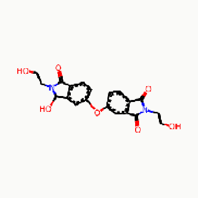 O=C1c2ccc(Oc3ccc4c(c3)C(O)N(CCO)C4=O)cc2C(=O)N1CCO